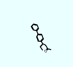 CCC(CC(C)=O)c1ccc(-c2ccccc2)cc1